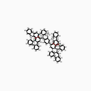 Cc1cc(-c2ccc(N(c3ccccc3-c3ccc4oc5ccccc5c4c3)c3cc4ccccc4c4ccccc34)c(C)c2)ccc1N(c1ccc2c3ccccc3c3ccccc3c2c1)c1ccccc1-c1ccc2oc3ccccc3c2c1